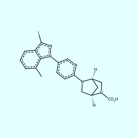 Cc1cccc2c(I)nn(-c3ccc(N4C[C@H]5C[C@@H]4CN5C(=O)O)nc3)c12